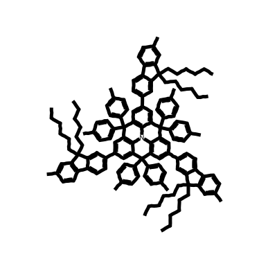 CCCCCCC1(CCCCCC)c2cc(C)ccc2-c2ccc(-c3cc4c5c(c3)C(c3ccc(C)cc3)(c3ccc(C)cc3)c3cc(-c6ccc7c(c6)C(CCCCCC)(CCCCCC)c6cc(C)ccc6-7)cc6c3N5c3c(cc(-c5ccc7c(c5)C(CCCCCC)(CCCCCC)c5cc(C)ccc5-7)cc3C6(c3ccc(C)cc3)c3ccc(C)cc3)C4(c3ccc(C)cc3)c3ccc(C)cc3)cc21